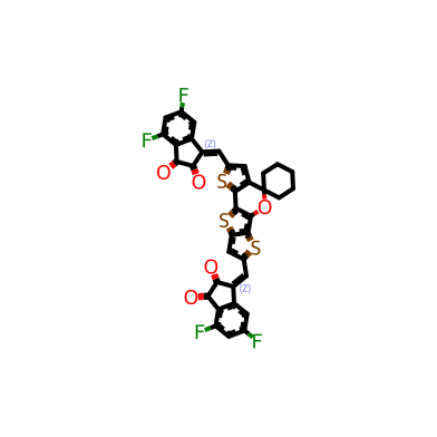 O=C1C(=O)c2c(F)cc(F)cc2/C1=C/c1cc2c(s1)-c1sc3cc(/C=C4\C(=O)C(=O)c5c(F)cc(F)cc54)sc3c1OC21CCCCC1